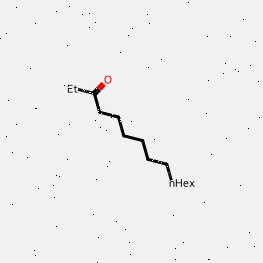 [CH2]CC(=O)CCCCCCCCCCCC